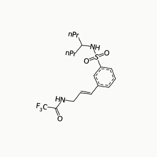 CCCC(CCC)NS(=O)(=O)c1cccc(C=CCNC(=O)C(F)(F)F)c1